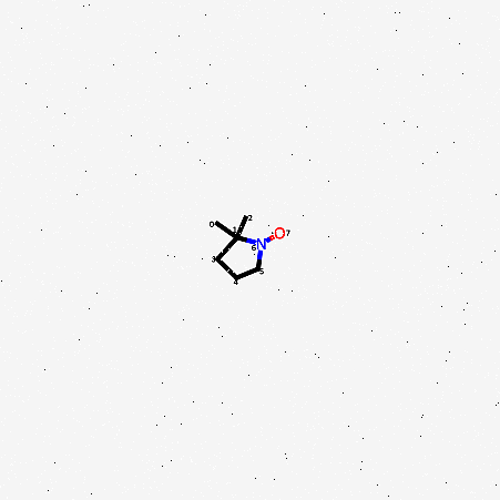 CC1(C)CCCN1[O]